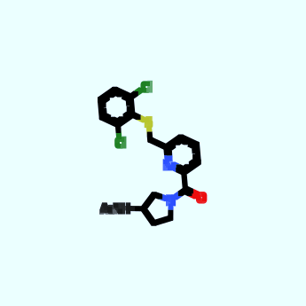 CC(=O)NC1CCN(C(=O)c2cccc(CSc3c(Cl)cccc3Cl)n2)C1